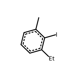 CCc1cccc(C)c1I